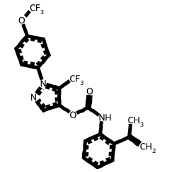 C=C(C)c1ccccc1NC(=O)Oc1cnn(-c2ccc(OC(F)(F)F)cc2)c1C(F)(F)F